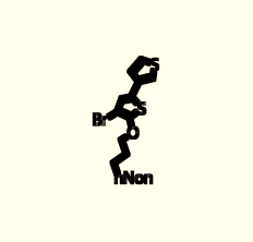 CCCCCCCCCCCCOc1sc(-c2ccsc2)cc1Br